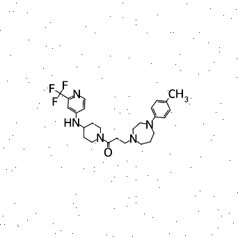 Cc1ccc(N2CCCN(CCC(=O)N3CCC(Nc4ccnc(C(F)(F)F)c4)CC3)CC2)cc1